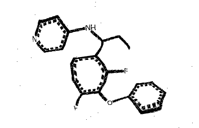 CCC(Nc1ccncc1)c1ccc(F)c(Oc2ccccc2)c1F